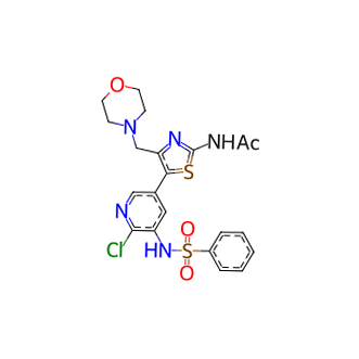 CC(=O)Nc1nc(CN2CCOCC2)c(-c2cnc(Cl)c(NS(=O)(=O)c3ccccc3)c2)s1